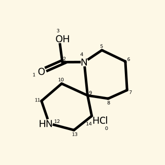 Cl.O=C(O)N1CCCCC12CCNCC2